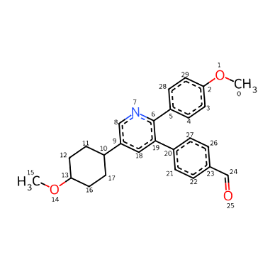 COc1ccc(-c2ncc(C3CCC(OC)CC3)cc2-c2ccc(C=O)cc2)cc1